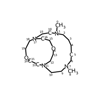 CN1CCCCCN(C)CCN2CCOCCN(CCOCC2)CC1